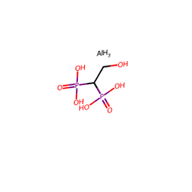 O=P(O)(O)C(CO)P(=O)(O)O.[AlH3]